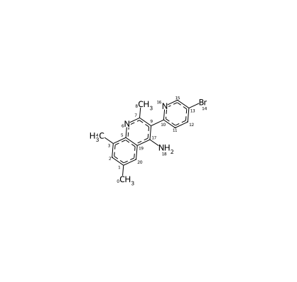 Cc1cc(C)c2nc(C)c(-c3ccc(Br)cn3)c(N)c2c1